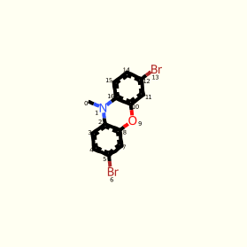 CN1c2ccc(Br)cc2Oc2cc(Br)ccc21